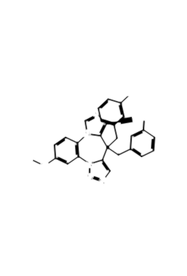 C#Cc1ncn2c1C(Cc1cccc(F)c1)(Cc1cccc(F)c1)c1cnnn1-c1cc(OC)ccc1-2